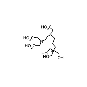 O=C(O)CN(CCC[Si](CO)(CO)CO)CCN(CC(=O)O)CC(=O)O